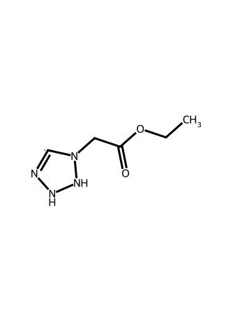 CCOC(=O)CN1[C]=NNN1